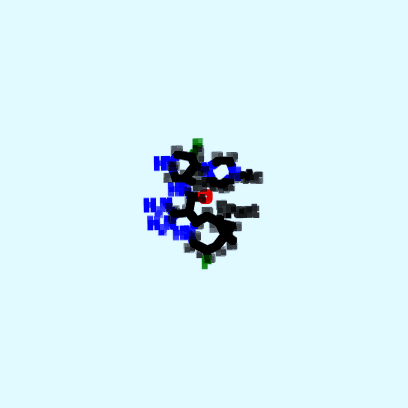 CCCCCC1(NC(=O)C(C(N)N)C2CC3(CCCCC)CC3(C)CC(F)CN2)CNCC(F)C1N1CCN(C(C)=O)CC1